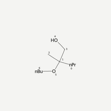 [CH2]CCC(C)(CO)OCCCC